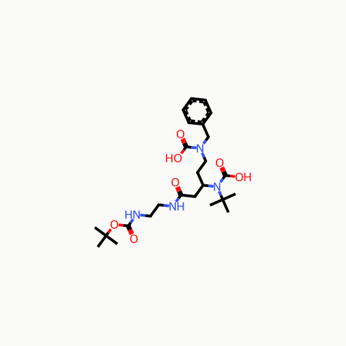 CC(C)(C)OC(=O)NCCNC(=O)CC(CCN(Cc1ccccc1)C(=O)O)N(C(=O)O)C(C)(C)C